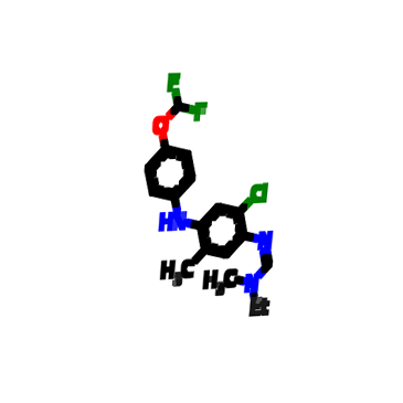 CCN(C)/C=N\c1cc(C)c(Nc2ccc(OC(F)F)cc2)cc1Cl